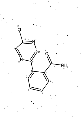 NC(=O)c1ccccc1-c1cnc(Cl)cn1